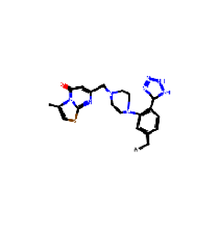 Cc1csc2nc(CN3CCN(c4cc(CC(C)C)ccc4C4N=NNN4)CC3)cc(=O)n12